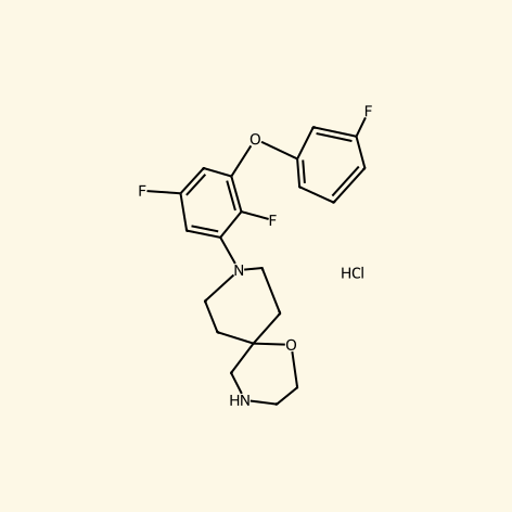 Cl.Fc1cccc(Oc2cc(F)cc(N3CCC4(CC3)CNCCO4)c2F)c1